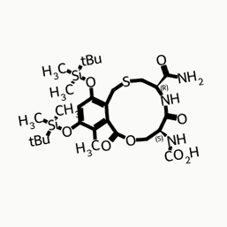 Cc1c(O[Si](C)(C)C(C)(C)C)cc(O[Si](C)(C)C(C)(C)C)c2c1C(=O)OC[C@H](NC(=O)O)C(=O)N[C@H](C(N)=O)CSC2